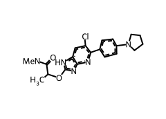 CNC(=O)C(C)Oc1nc2nc(-c3ccc(N4CCCC4)cc3)c(Cl)cc2[nH]1